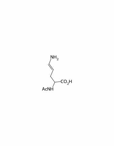 CC(=O)NC(CC=CN)C(=O)O